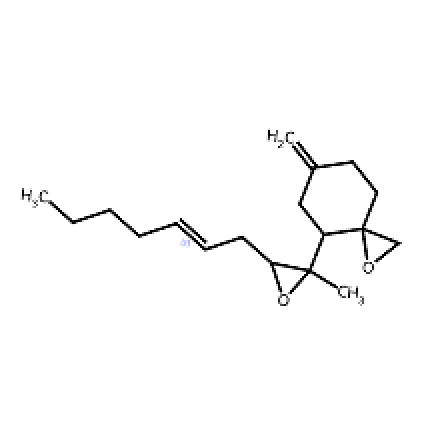 C=C1CCC2(CO2)C(C2(C)OC2C/C=C/CCCC)C1